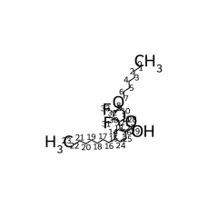 CCCCCCCCOc1ccc(-c2cc(CCCCCCCC)ccc2C(=O)O)c(F)c1F